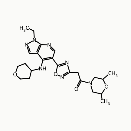 CCn1ncc2c(NC3CCOCC3)c(-c3nc(CC(=O)N4CC(C)OC(C)C4)no3)cnc21